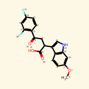 COc1ccc2c(C(CC(=O)c3ccc(F)cc3F)C(=O)O)c[nH]c2c1